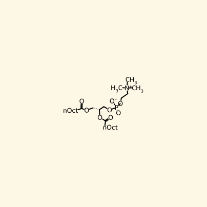 CCCCCCCCC(=O)OC[C@H](COP(=O)([O-])OCC[N+](C)(C)C)OC(=O)CCCCCCCC